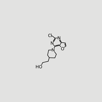 OCCC1CCN(c2nc(Cl)nc3ccoc23)CC1